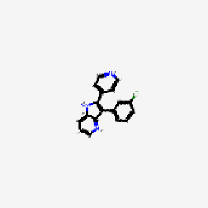 Clc1cccc(-c2c(-c3ccncc3)[nH]c3cccnc23)c1